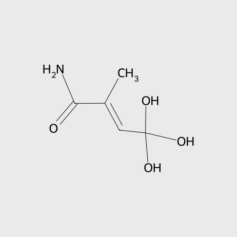 C/C(=C\C(O)(O)O)C(N)=O